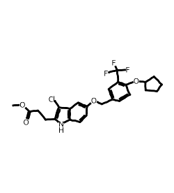 COC(=O)CCc1[nH]c2ccc(OCc3ccc(OC4CCCC4)c(C(F)(F)F)c3)cc2c1Cl